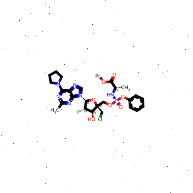 Cc1nc(N2CCCC2)c2ncn([C@@H]3O[C@](CCl)(COP(=O)(N[C@@H](C)C(=O)OC(C)C)Oc4ccccc4)[C@@H](O)[C@@H]3F)c2n1